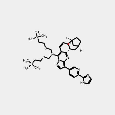 CCO/C=C\c1c([C@H]2C[C@@H]3CC[C@@H](C3)C2)nc2c(-c3ccc(-c4ncc[nH]4)nc3)cnn2c1N(COCC[Si](C)(C)C)COCC[Si](C)(C)C